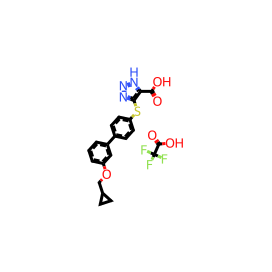 O=C(O)C(F)(F)F.O=C(O)c1[nH]nnc1Sc1ccc(-c2cccc(OCC3CC3)c2)cc1